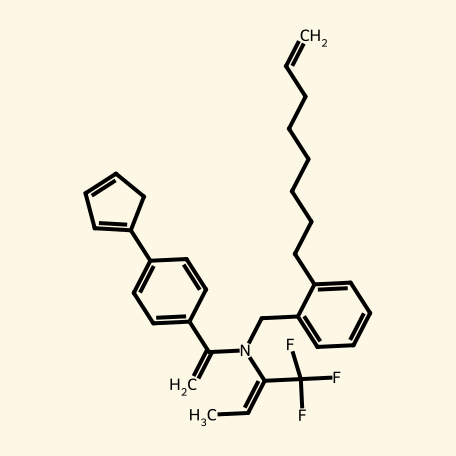 C=CCCCCCCc1ccccc1CN(C(=C)c1ccc(C2=CC=CC2)cc1)/C(=C\C)C(F)(F)F